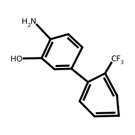 Nc1ccc(-c2ccccc2C(F)(F)F)cc1O